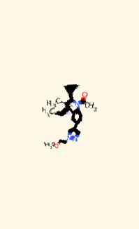 C/C=C1/c2cc(-c3cnn(CCOC)c3)ccc2N(C(C)=O)C(C2CC2)[C@H]1C